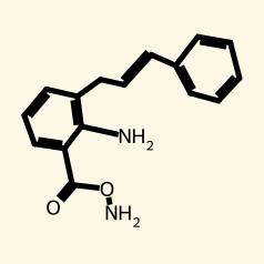 NOC(=O)c1cccc(CC=Cc2ccccc2)c1N